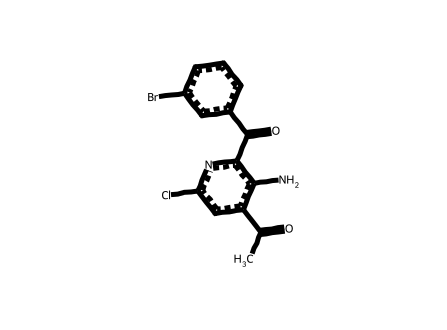 CC(=O)c1cc(Cl)nc(C(=O)c2cccc(Br)c2)c1N